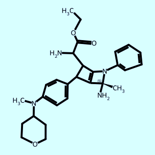 CCOC(=O)C(N)C1C2=C(C1c1ccc(N(C)C3CCOCC3)cc1)[C@@](C)(N)N2c1ccccc1